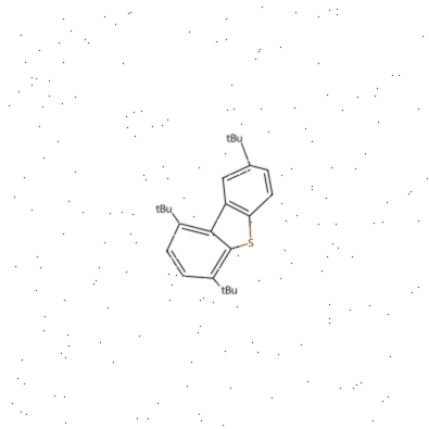 CC(C)(C)c1ccc2sc3c(C(C)(C)C)ccc(C(C)(C)C)c3c2c1